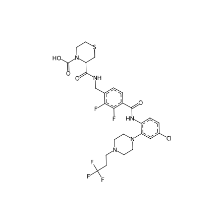 O=C(Nc1ccc(Cl)cc1N1CCN(CCC(F)(F)F)CC1)c1ccc(CNC(=O)C2CSCCN2C(=O)O)c(F)c1F